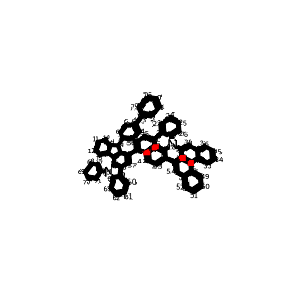 c1ccc(-c2ccc(C3c4ccccc4-c4c3c(-c3ccc(-c5ccccc5N(c5ccc6ccccc6c5)c5ccccc5-c5ccc6ccccc6c5)cc3)cc3c5ccccc5n(-c5ccccc5)c43)cc2)cc1